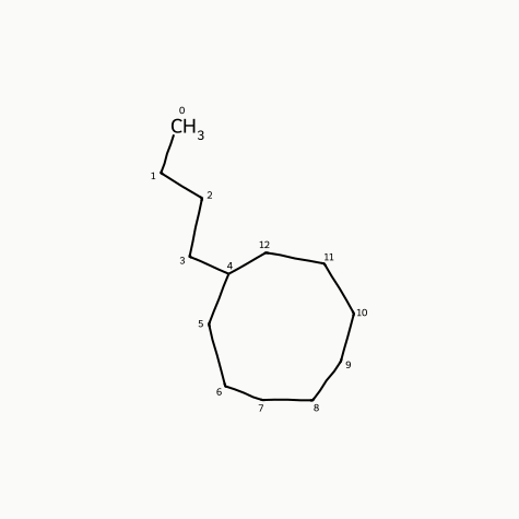 CCCCC1CCCCCCCC1